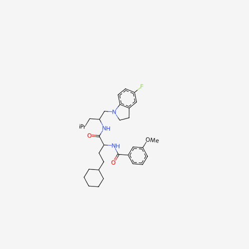 COc1cccc(C(=O)NC(CCC2CCCCC2)C(=O)NC(CC(C)C)CN2CCc3cc(F)ccc32)c1